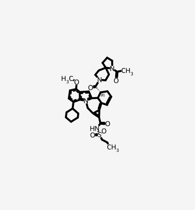 CCCS(=O)(=O)NC(=O)C1=C2Cn3c(cc4c(OC)ccc(C5CCCCC5)c43)C3C(=C21)C=CC[C@H]3C(=O)N1CCC2(CCCN2C(C)=O)CC1